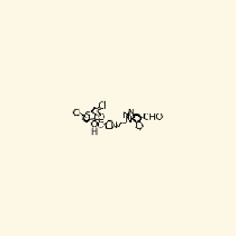 O=Cc1cc2nnn(CCCN3CCC(OC(=O)C(O)(c4ccc(Cl)s4)c4ccc(Cl)s4)CC3)c2c2c1CCC2